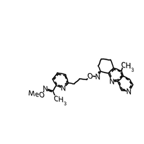 CO/N=C(\C)c1cccc(CCCO/N=C2\CCCc3c2nc2cnccc2c3C)n1